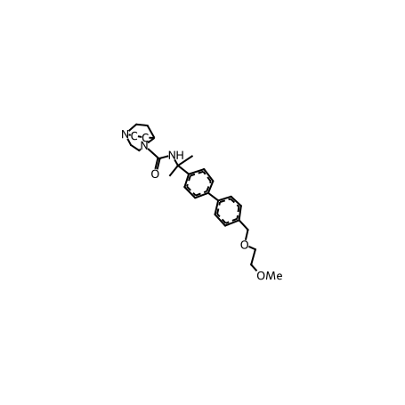 COCCOCc1ccc(-c2ccc(C(C)(C)NC(=O)N3CCN4CCC3CC4)cc2)cc1